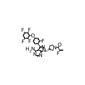 C=C(F)C(=O)N1CC[C@@H](Cn2nc(-c3ccc(Oc4c(F)c(F)cc(F)c4F)cc3F)c3c(N)ncnc32)C1